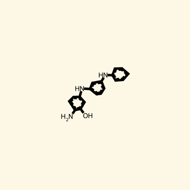 Nc1ccc(Nc2cccc(Nc3ccccc3)c2)cc1O